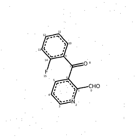 O=Cc1ncccc1C(=O)c1ccccc1F